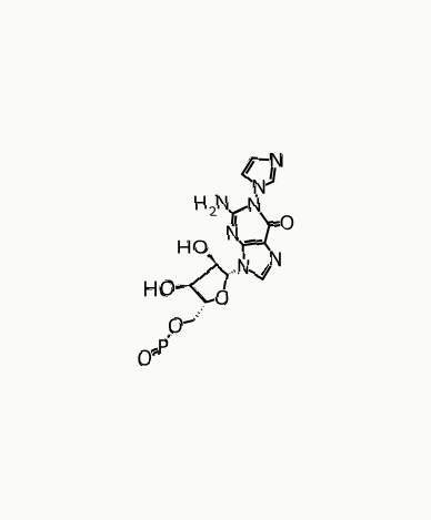 Nc1nc2c(ncn2[C@@H]2O[C@H](COP=O)[C@@H](O)[C@H]2O)c(=O)n1-n1ccnc1